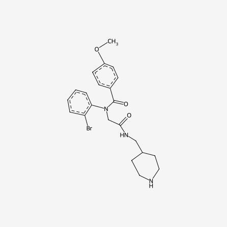 COc1ccc(C(=O)N(CC(=O)NCC2CCNCC2)c2ccccc2Br)cc1